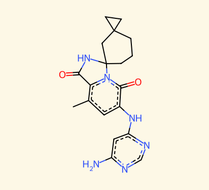 Cc1cc(Nc2cc(N)ncn2)c(=O)n2c1C(=O)NC21CCCC2(CC2)C1